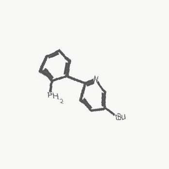 CC(C)(C)c1ccc(-c2ccccc2P)nc1